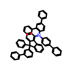 c1ccc(-c2ccc(N(c3ccc(-c4ccccc4)cc3-c3ccccc3)c3cccc4c3-c3ccccc3C4(c3ccccc3)c3cccc(-c4ccccc4)c3)cc2)cc1